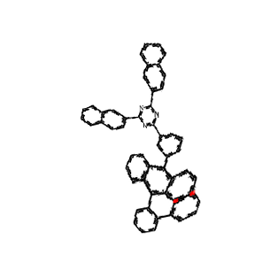 c1ccc(-c2ccccc2-c2c3ccccc3c(-c3cccc(-c4nc(-c5ccc6ccccc6c5)nc(-c5ccc6ccccc6c5)n4)c3)c3ccccc23)cc1